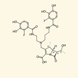 C[C@@H](O)[C@H]1C(=O)N2C(C(=O)O)=C(CN(CCCNC(=O)c3ccc(O)c(O)c3F)CCNC(=O)c3ccc(O)c(O)c3F)[C@H](C)[C@H]12